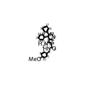 COc1ccc(CNC(=O)c2sc3nnc(-c4ccccc4)c(-c4ccccc4)c3c2N)cc1